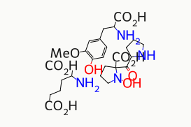 COc1cc(CC(N)C(=O)O)ccc1O.NC(CCCC(=O)O)C(=O)O.O=C(O)C1(C(=O)C2CCCN2)CCCN1O